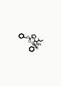 CC[C@H](C)[C@H](NS(=O)(=O)c1ccccc1)C(=O)N1CCC[C@H]1C(=O)OCc1ccccc1